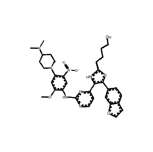 COc1cc(N2CCC(N(C)C)CC2)c([N+](=O)[O-])cc1Nc1nccc(-c2[nH]c(CCCCO)nc2-c2ccc3ccoc3c2)n1